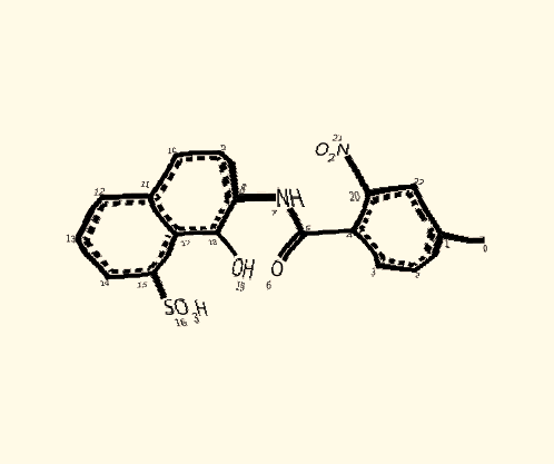 Cc1ccc(C(=O)Nc2ccc3cccc(S(=O)(=O)O)c3c2O)c([N+](=O)[O-])c1